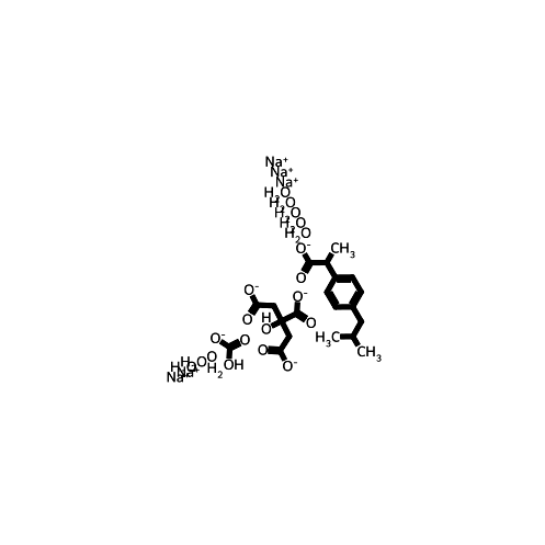 CC(C)Cc1ccc(C(C)C(=O)[O-])cc1.O.O.O.O.O.O.O.O.O=C([O-])CC(O)(CC(=O)[O-])C(=O)[O-].O=C([O-])O.[Na+].[Na+].[Na+].[Na+].[Na+]